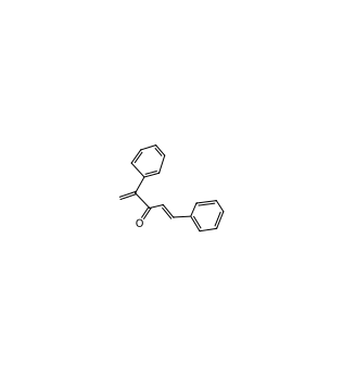 C=C(C(=O)C=Cc1ccccc1)c1ccccc1